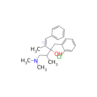 C/C(=C/c1ccccc1)C(O)(Cc1ccccc1Cl)C(C)CN(C)C